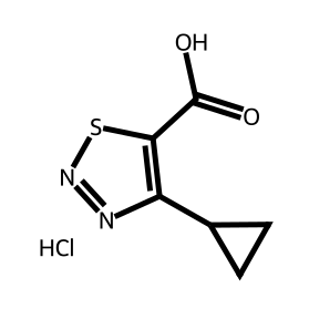 Cl.O=C(O)c1snnc1C1CC1